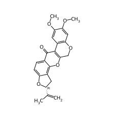 C=C(C)[C@H]1Cc2c(ccc3c(=O)c4c(oc23)COc2cc(OC)c(OC)cc2-4)O1